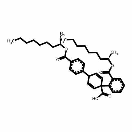 CCCCCCC[C@@H](C)OC(=O)c1ccc(C2C=CC(C(=O)O)(c3ccccc3C(=O)O[C@H](C)CCCCCCC)C=C2)cc1